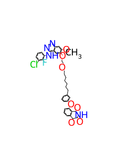 COc1cc2ncnc(Nc3cccc(Cl)c3F)c2cc1OCCOCCCCCCCc1cccc(Oc2cccc3c2C(=O)NC(=O)C3=O)c1